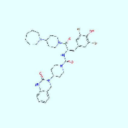 O=C(N[C@H](Cc1cc(Br)c(O)c(Br)c1)C(=O)N1CCC(N2CCCCCC2)CC1)N1CCC(N2Cc3ccccc3NC2=O)CC1